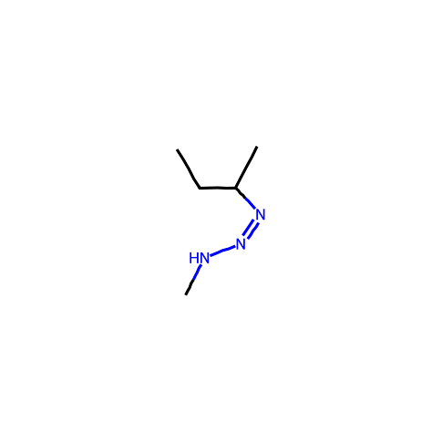 CCC(C)/N=N\NC